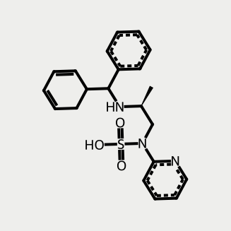 C[C@@H](CN(c1ccccn1)S(=O)(=O)O)NC(c1ccccc1)C1C=CC=CC1